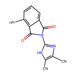 CCCc1cccc2c1C(=O)N(c1nc(C#N)c(C#N)[nH]1)C2=O